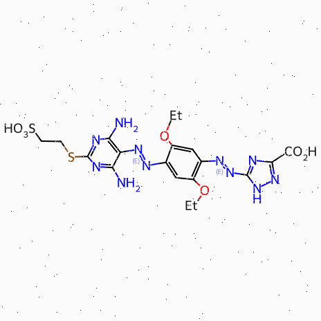 CCOc1cc(/N=N/c2c(N)nc(SCCS(=O)(=O)O)nc2N)c(OCC)cc1/N=N/c1nc(C(=O)O)n[nH]1